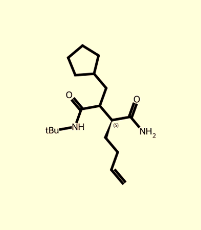 C=CCC[C@H](C(N)=O)C(CC1CCCC1)C(=O)NC(C)(C)C